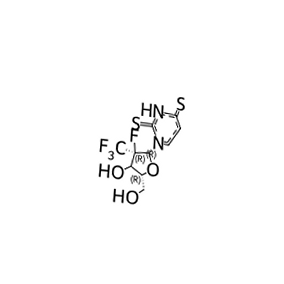 OC[C@H]1O[C@@H](n2ccc(=S)[nH]c2=S)[C@@](F)(C(F)(F)F)C1O